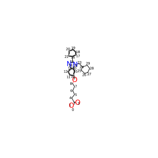 COC(=O)CCCCCOc1ccc2nc(-c3ccccc3)n(CC3CCCCC3)c2c1